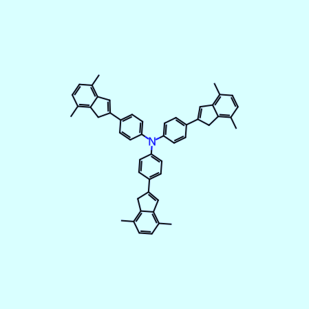 Cc1ccc(C)c2c1C=C(c1ccc(N(c3ccc(C4=Cc5c(C)ccc(C)c5C4)cc3)c3ccc(C4=Cc5c(C)ccc(C)c5C4)cc3)cc1)C2